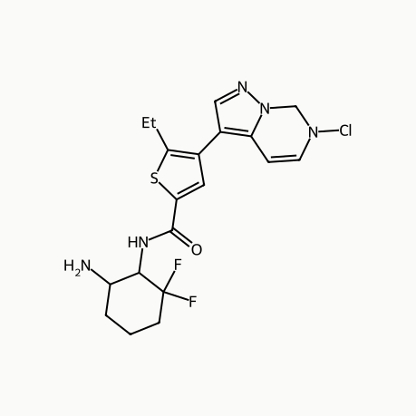 CCc1sc(C(=O)NC2C(N)CCCC2(F)F)cc1-c1cnn2c1C=CN(Cl)C2